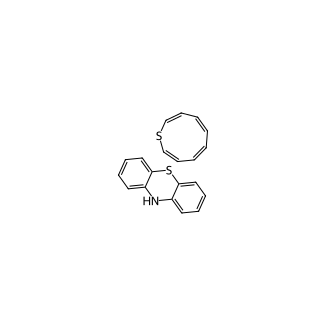 c1ccc2c(c1)Nc1ccccc1S2.c1ccccsccc1